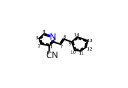 N#Cc1cccnc1C=Cc1ccccc1